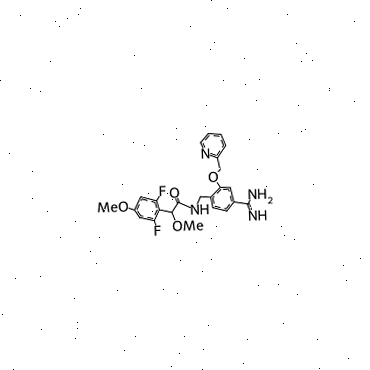 COc1cc(F)c(C(OC)C(=O)NCc2ccc(C(=N)N)cc2OCc2ccccn2)c(F)c1